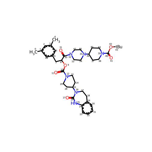 Cc1cc(C)cc(CC(OC(=O)N2CCC(N3CCc4ccccc4NC3=O)CC2)C(=O)N2CCN(C3CCN(C(=O)OC(C)(C)C)CC3)CC2)c1